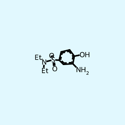 CCN(CC)S(=O)(=O)c1ccc(O)c(N)c1